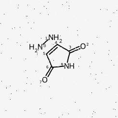 NN.O=C1C=CC(=O)N1